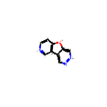 c1cc2oc3cnncc3c2cn1